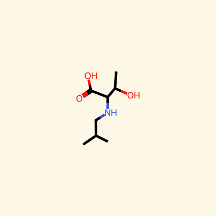 CC(C)CNC(C(=O)O)C(C)O